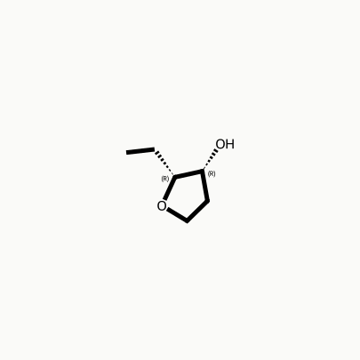 CC[C@H]1OCC[C@H]1O